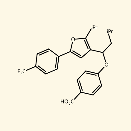 CC(C)CC(Oc1ccc(C(=O)O)cc1)c1cc(-c2ccc(C(F)(F)F)cc2)oc1C(C)C